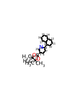 CC1(C)OB(c2ccc(-c3cccc4ccccc34)nc2)OC1(C)C